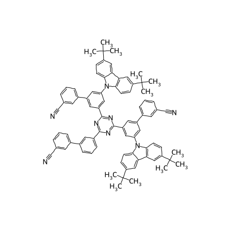 CC(C)(C)c1ccc2c(c1)c1cc(C(C)(C)C)ccc1n2-c1cc(-c2cccc(C#N)c2)cc(-c2nc(-c3cccc(-c4cccc(C#N)c4)c3)nc(-c3cc(-c4cccc(C#N)c4)cc(-n4c5ccc(C(C)(C)C)cc5c5cc(C(C)(C)C)ccc54)c3)n2)c1